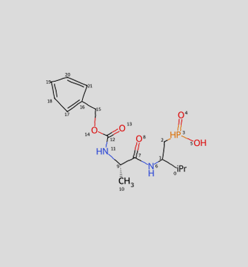 CC(C)C(C[PH](=O)O)NC(=O)[C@H](C)NC(=O)OCc1ccccc1